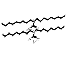 CCCCCCCCCN(CCCCCCCCC)C(=S)[S-].CCCCCCCCCN(CCCCCCCCC)C(=S)[S-].[Cu+2]